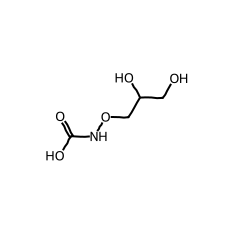 O=C(O)NOCC(O)CO